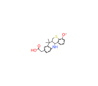 COc1cccc2c1SCC1C2Nc2ccc(CC(=O)O)cc2C1(C)C